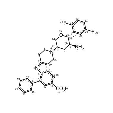 N[C@H]1C[C@@H](N2CCc3nn4c(-c5ccccc5)cc(C(=O)O)nc4c3C2)CO[C@@H]1c1cc(F)ccc1F